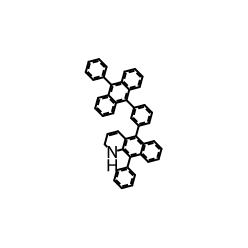 C1=Cc2c(c(-c3ccccc3)c3ccccc3c2-c2cccc(-c3c4ccccc4c(-c4ccccc4)c4ccccc34)c2)NC1